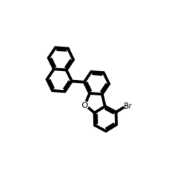 Brc1cccc2oc3c(-c4cccc5ccccc45)cccc3c12